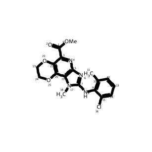 COC(=O)c1nc2nc(Nc3c(C)cccc3Cl)n(C)c2c2c1OCCO2